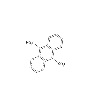 O=C(O)c1c2ccccc2c(C(=O)O)c2ccccc12